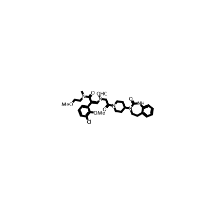 COCCN(C)C(=O)/C(=C\N(C=O)CC(=O)N1CCC(N2CCc3ccccc3NC2=O)CC1)c1cccc(Cl)c1OC